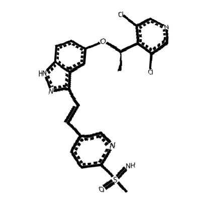 C[C@@H](Oc1ccc2[nH]nc(/C=C/c3ccc(S(C)(=N)=O)nc3)c2c1)c1c(Cl)cncc1Cl